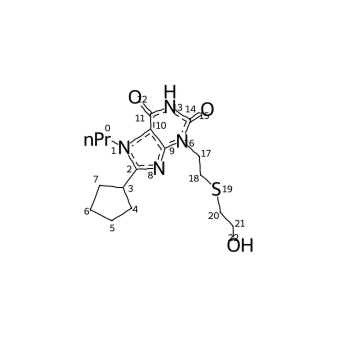 CCCn1c(C2CCCC2)nc2c1c(=O)[nH]c(=O)n2CCSCCO